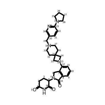 O=C1CCC(N2Cc3c(cccc3N3CC4(CCN(Cc5ccc(N6CCCC6)nc5)CC4)C3)C2=O)C(=O)N1